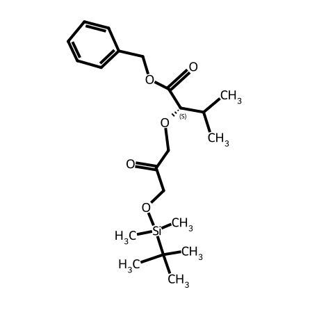 CC(C)[C@H](OCC(=O)CO[Si](C)(C)C(C)(C)C)C(=O)OCc1ccccc1